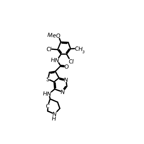 COc1cc(C)c(Cl)c(NC(=O)c2csc3c(NC4CCNCC4)ncnc23)c1Cl